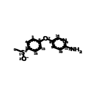 C[S+]([O-])c1ccc(Oc2ccc(N)nc2)cc1